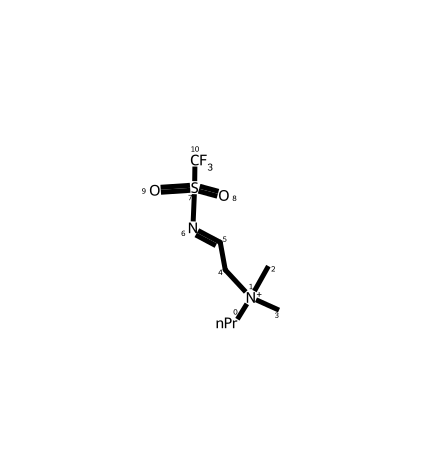 CCC[N+](C)(C)CC=NS(=O)(=O)C(F)(F)F